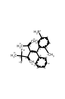 Bc1ccc(C)c(/C(=C(\C(=C)C)C(=C)C(C)(F)F)c2ccccc2)c1